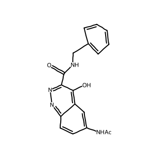 CC(=O)Nc1ccc2nnc(C(=O)NCc3ccccc3)c(O)c2c1